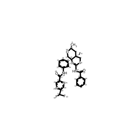 C[C@H]1C[C@@]2(F)CSC(NC(=O)c3ccccc3)=N[C@@]2(c2cccc(NC(=O)c3cnc(C(F)F)cn3)c2)CO1